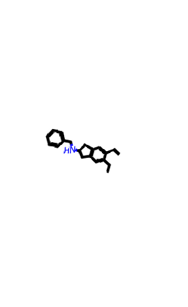 CCc1cc2c(cc1CC)CC(NCc1ccccc1)C2